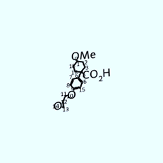 COC1CCC(C(=O)O)(c2ccc(OCC3CO3)cc2)CC1